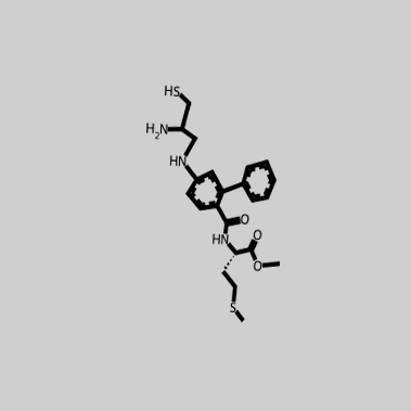 COC(=O)[C@H](CCSC)NC(=O)c1ccc(NCC(N)CS)cc1-c1ccccc1